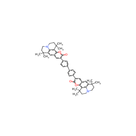 CC1(C)CCN2CCC(C)(C)c3c2c1cc1cc(-c2ccc(-c4ccc(-c5cc6cc7c8c(c6oc5=O)C(C)(C)CCN8CCC7(C)C)cc4)cc2)c(=O)oc31